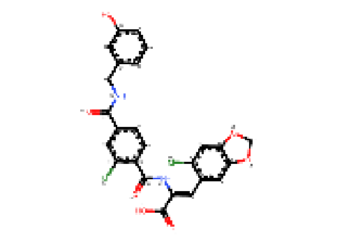 O=C(O)/C(=C/c1cc2c(cc1Cl)OCO2)NC(=O)c1ccc(C(=O)NCc2cccc(O)c2)cc1Cl